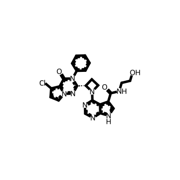 O=C(NCCO)c1c[nH]c2ncnc(N3CC[C@H]3c3nn4ccc(Cl)c4c(=O)n3-c3ccccc3)c12